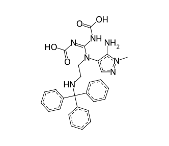 Cn1ncc(N(CCNC(c2ccccc2)(c2ccccc2)c2ccccc2)C(=NC(=O)O)NC(=O)O)c1N